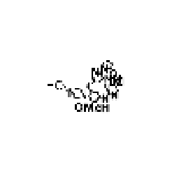 COc1cc(N2CCN(CCO)CC2)c(Cl)cc1Nc1ncc(Cl)c(Nc2cccnc2N2CCCC2=O)n1